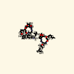 CC[C@H](C)[C@H]1O[C@]2(C=C[C@@H]1C)C[C@@H]1C[C@@H](C/C=C(\C)[C@@H](O[C@H]3C[C@H](OC)[C@@H](O[C@H]4C[C@H](OC)[C@@H](O)[C@H](C)O4)[C@H](C)O3)[C@@H](C)/C=C/C=C3\CO[C@@H]4[C@H](O)C(C)=C[C@@H](C(=O)O1)[C@]34O)O2.CN/C(=N/[N+](=O)[O-])NCC1CCOC1.CO[C@H]1C[C@H](O[C@H]2[C@H](C)O[C@@H](O[C@@H]3/C(C)=C/C[C@@H]4C[C@@H](C[C@]5(C=C[C@H](C)[C@@H](C(C)C)O5)O4)OC(=O)[C@@H]4C=C(C)[C@@H](O)[C@H]5OC/C(=C\C=C\[C@@H]3C)[C@]54O)C[C@@H]2OC)O[C@@H](C)[C@@H]1O